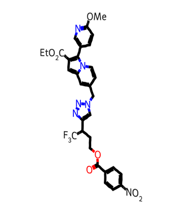 CCOC(=O)c1cc2cc(Cn3cc(C(CCOC(=O)c4ccc([N+](=O)[O-])cc4)C(F)(F)F)nn3)ccn2c1-c1ccc(OC)nc1